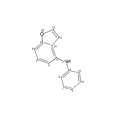 c1ccc(Nc2cccc3occc23)cc1